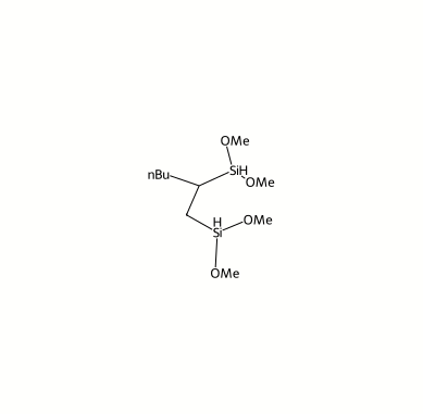 CCCCC(C[SiH](OC)OC)[SiH](OC)OC